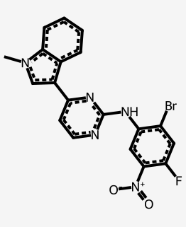 Cn1cc(-c2ccnc(Nc3cc([N+](=O)[O-])c(F)cc3Br)n2)c2ccccc21